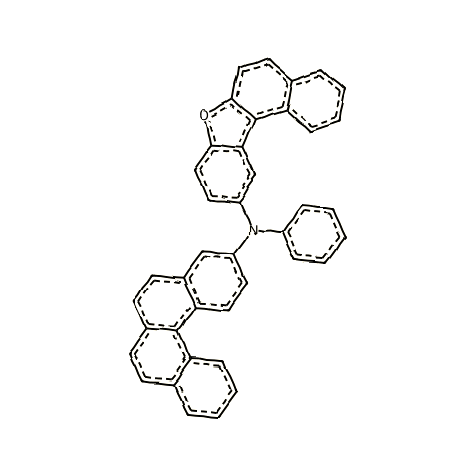 c1ccc(N(c2ccc3c(ccc4ccc5ccccc5c43)c2)c2ccc3oc4ccc5ccccc5c4c3c2)cc1